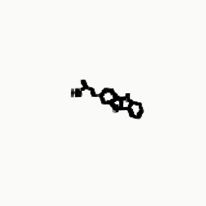 C=C(S)/C=C/c1ccc2c3c(sc2c1)C1=CC=CCC1S3